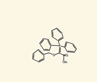 O=C(O)C(OCc1ccccc1)=P(c1ccccc1)(c1ccccc1)c1ccccc1